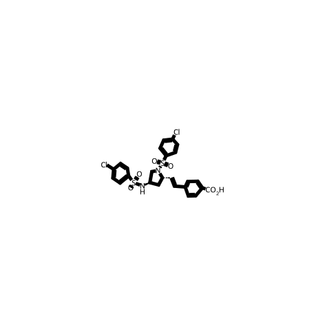 O=C(O)c1ccc(/C=C/[C@@H]2C[C@@H](NS(=O)(=O)c3ccc(Cl)cc3)CN2S(=O)(=O)c2ccc(Cl)cc2)cc1